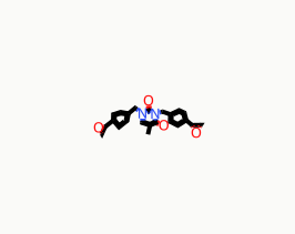 Cc1cn(Cc2ccc(C3CO3)cc2)c(=O)n(Cc2ccc(C3CO3)cc2)c1=O